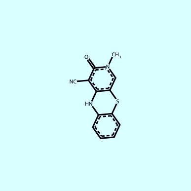 Cn1cc2c(c(C#N)c1=O)Nc1ccccc1S2